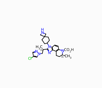 C[C@@H](Cn1cc(Cl)cn1)c1nc2c3c(ccc2n1C1CCC2(CC1)CNC2)N(C(=O)O)[C@@H](C)CC3